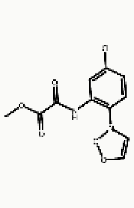 COC(=O)C(=O)Nc1cc(Cl)ccc1N1C=COO1